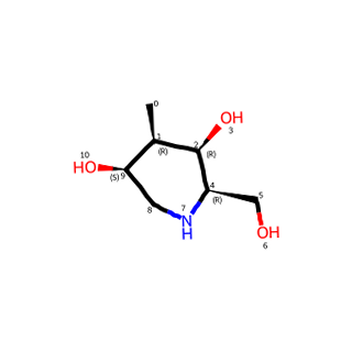 C[C@H]1[C@@H](O)[C@@H](CO)NC[C@H]1O